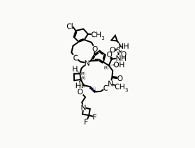 CC1CC(Cl)=CC2=C1COc1ccc3cc1N(CCCC2)C[C@@H]1CC[C@H]1[C@@H](OCCN1CC(F)(F)C1)/C=C/CCN(C)C(=O)C[C@]3(O)C(=O)NS(=O)(=O)NC1CC1